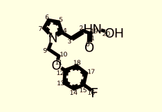 O=C(/C=C/c1cccn1CCOc1ccc(F)cc1)NO